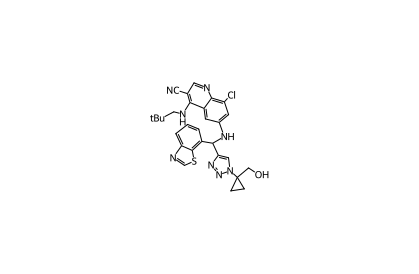 CC(C)(C)CNc1c(C#N)cnc2c(Cl)cc(NC(c3cn(C4(CO)CC4)nn3)c3cccc4ncsc34)cc12